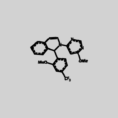 COc1cc(N2C=Cc3ccccc3C2c2ccc(C(F)(F)F)cc2OC)ncn1